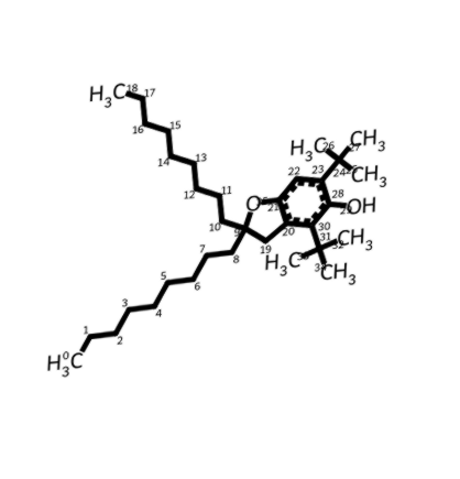 CCCCCCCCCC1(CCCCCCCCC)Cc2c(cc(C(C)(C)C)c(O)c2C(C)(C)C)O1